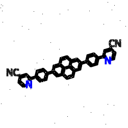 N#Cc1ccnc(-c2ccc(-c3cc4ccc5cc(-c6ccc(-c7cc(C#N)ccn7)cc6)cc6ccc(c3)c4c56)cc2)c1